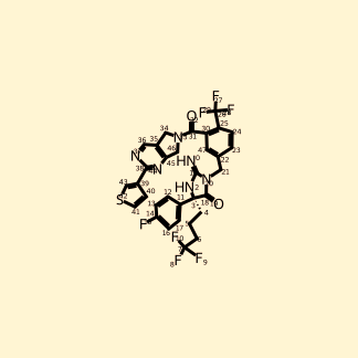 N=C1N[C@](CCCC(F)(F)F)(c2ccc(F)cc2)C(=O)N1Cc1ccc(C(F)(F)F)c(C(=O)N2Cc3cnc(-c4ccsc4)nc3C2)c1